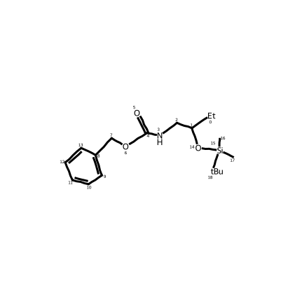 CCC(CNC(=O)OCc1ccccc1)O[Si](C)(C)C(C)(C)C